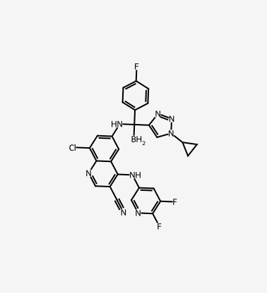 BC(Nc1cc(Cl)c2ncc(C#N)c(Nc3cnc(F)c(F)c3)c2c1)(c1ccc(F)cc1)c1cn(C2CC2)nn1